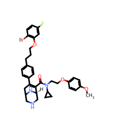 COc1ccc(OCCN(C(=O)C2=C(c3ccc(CCCOc4cc(F)ccc4Br)cc3)CC3CNC[C@H]2N3)C2CC2)cc1